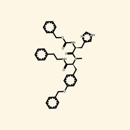 CN(C(=O)[C@H](Cc1c[nH]cn1)NC(=O)OCc1ccccc1)[C@@H](Cc1ccc(OCc2ccccc2)cc1)C(=O)NCCc1ccccc1